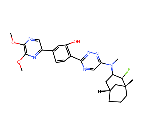 COc1ncc(-c2ccc(-c3ncc(N(C)[C@@H]4C[C@H]5CCC[C@](C)(C5)[C@@H]4F)nn3)c(O)c2)nc1OC